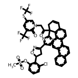 CS(=O)(=O)Oc1cccc(Cl)c1C1CC(c2csc(C3(C(=O)Cn4cc(SC(F)(F)F)cc(C(F)(F)F)c4=O)CC=Cc4ccc5c(ccc6c7ccccc7ccc56)c43)n2)=NO1